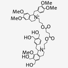 COc1ccc(CC2c3cc(OC)c(OC)cc3CC[N+]2(C)CCCOC(=O)CCC(=O)OCCC[N+]2(C)CCc3cc(CO)c(CO)c(OC)c3C2Cc2ccc(CO)c(CO)c2)cc1OC